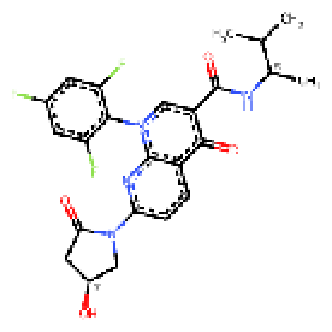 CC(C)[C@@H](C)NC(=O)c1cn(-c2c(F)cc(F)cc2F)c2nc(N3C[C@@H](O)CC3=O)ccc2c1=O